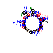 CN1C(=O)[C@H](Cc2c[nH]cn2)NC(=O)[C@H](CC(=O)O)NC(=O)[C@H](Cc2c[nH]c3ccc(F)cc23)NC(=O)[C@H](CCc2c[nH]c3ccc(F)cc23)NC(=O)CNC(=O)[C@H](CCCCN)NC(=O)CCSCc2cccc(c2)CSC[C@@H](C(N)=O)NC(=O)[C@@H]2CCCN2C(=O)[C@@H]1Cc1ccc(O)cc1